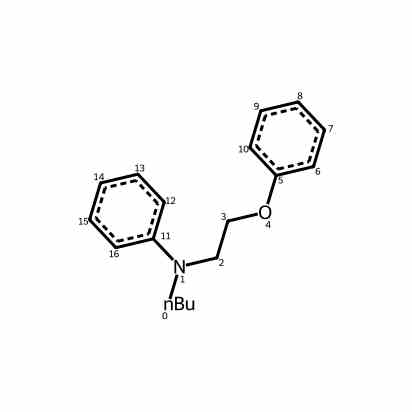 CCCCN(CCOc1ccccc1)c1ccccc1